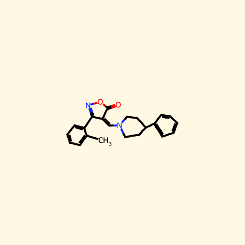 Cc1ccccc1C1=NOC(=O)C1=CN1CCC(c2ccccc2)CC1